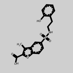 Cc1c(C(=O)O)oc2ccc(S(=O)(=O)NCCc3ccccc3O)cc12